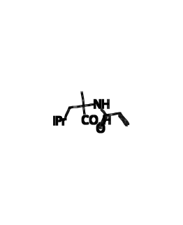 C=CC(=O)NC(C)(CC(C)C)C(=O)O